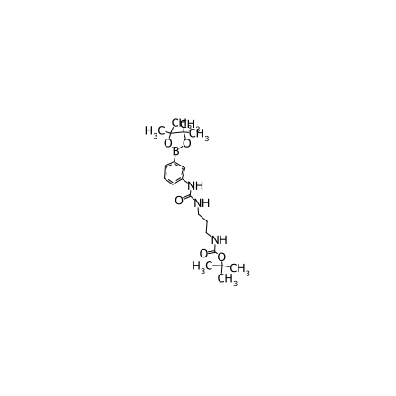 CC(C)(C)OC(=O)NCCCNC(=O)Nc1cccc(B2OC(C)(C)C(C)(C)O2)c1